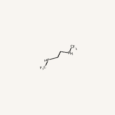 FC(F)(F)PCCPC(F)(F)F